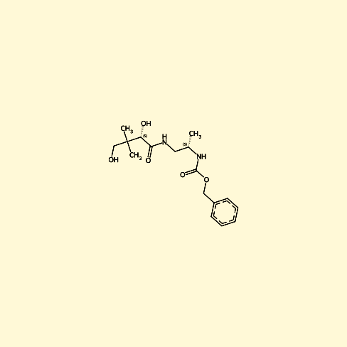 C[C@@H](CNC(=O)[C@@H](O)C(C)(C)CO)NC(=O)OCc1ccccc1